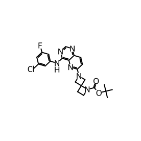 CC(C)(C)OC(=O)N1CCC12CN(c1ccc3ncnc(Nc4cc(F)cc(Cl)c4)c3n1)C2